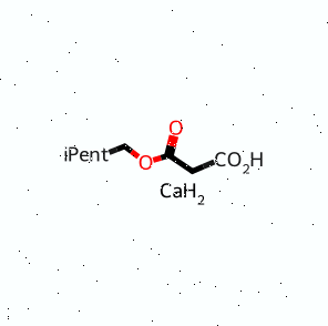 CCCC(C)COC(=O)CC(=O)O.[CaH2]